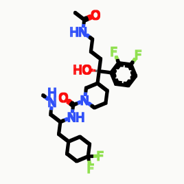 CNCC(CC1CCC(F)(F)CC1)NC(=O)N1CCCC([C@@](O)(CCCNC(C)=O)c2cccc(F)c2F)C1